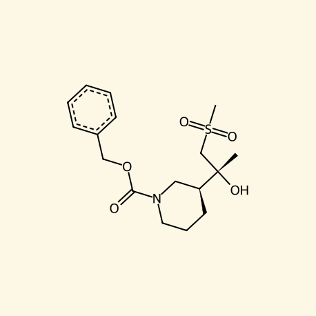 C[C@](O)(CS(C)(=O)=O)[C@H]1CCCN(C(=O)OCc2ccccc2)C1